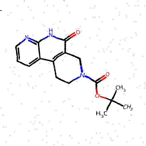 CC(C)(C)OC(=O)N1CCc2c(c(=O)[nH]c3ncccc23)C1